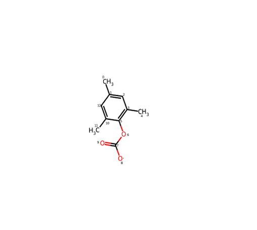 Cc1cc(C)c(OC([O])=O)c(C)c1